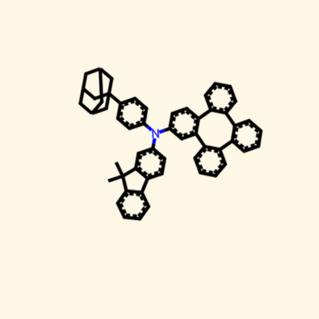 CC1(C)c2ccccc2-c2ccc(N(c3ccc(C45CC6CC(CC(C6)C4)C5)cc3)c3ccc4c(c3)-c3ccccc3-c3ccccc3-c3ccccc3-4)cc21